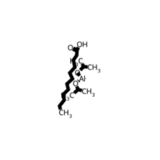 CC(C)[O][Al][O]C(C)C.CCCCCCCCCCCC(=O)O